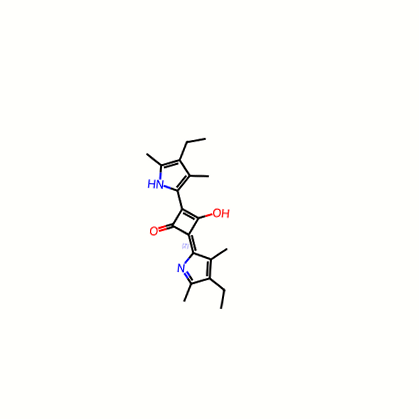 CCC1=C(C)/C(=C2/C(=O)C(c3[nH]c(C)c(CC)c3C)=C2O)N=C1C